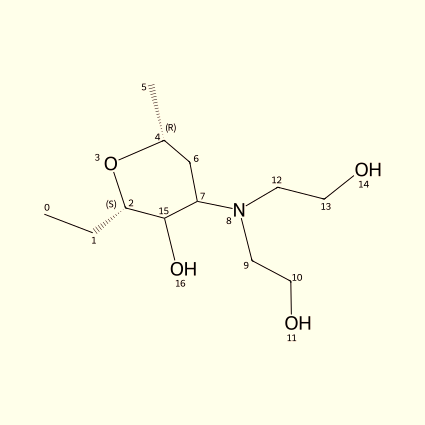 CC[C@@H]1O[C@H](C)CC(N(CCO)CCO)C1O